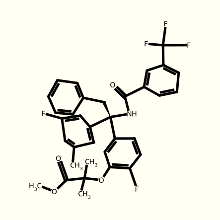 COC(=O)C(C)(C)Oc1cc([C@@](Cc2ccccc2)(NC(=O)c2cccc(C(F)(F)F)c2)c2cc(C)cc(F)c2)ccc1F